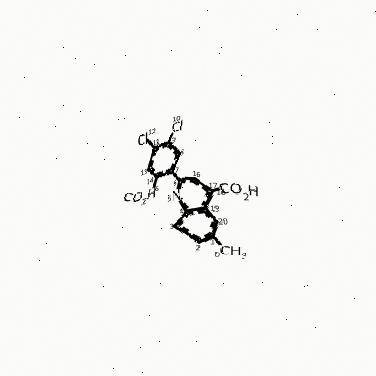 Cc1ccc2nc(-c3cc(Cl)c(Cl)cc3C(=O)O)cc(C(=O)O)c2c1